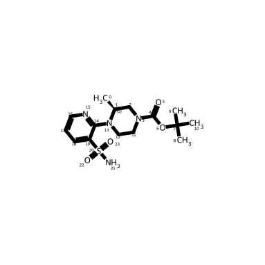 C[C@H]1CN(C(=O)OC(C)(C)C)CCN1c1ncccc1S(N)(=O)=O